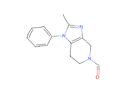 Cc1nc2c(n1-c1ccccc1)CCN(C=O)C2